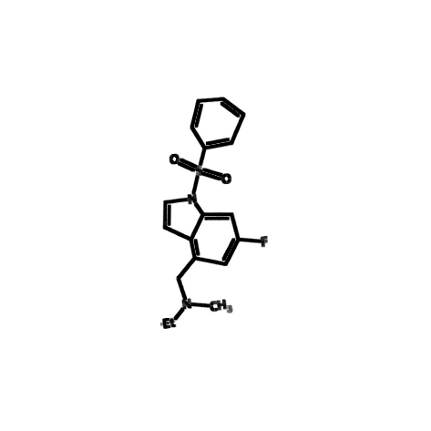 [CH2][CH]N(C)Cc1cc(F)cc2c1ccn2S(=O)(=O)c1ccccc1